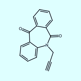 C#CCn1c(=O)c2ccccc2c(=O)c2ccccc21